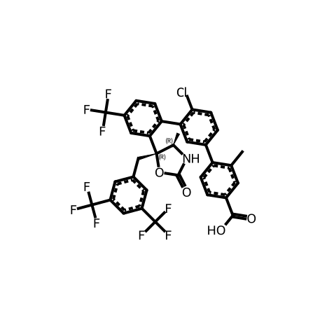 Cc1cc(C(=O)O)ccc1-c1ccc(Cl)c(-c2ccc(C(F)(F)F)cc2[C@@]2(Cc3cc(C(F)(F)F)cc(C(F)(F)F)c3)OC(=O)N[C@@H]2C)c1